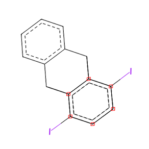 Ic1cccc2c1C1c3ccccc3C2c2c(I)cccc21